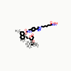 C[C@@H]1C=CC2=C[C@H](C)C[C@H](OC(=O)NCc3ccc(-c4cn(CCCCCCC(=O)NO)nn4)cc3)[C@@H]2[C@H]1CC[C@@H]1C[C@@H](O[Si](C)(C)C(C)(C)C)CC(=O)O1